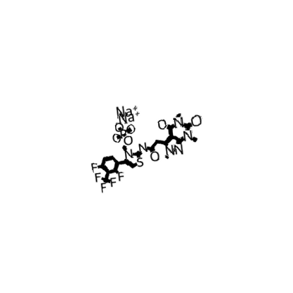 Cn1nc2c(c1CC(=O)N=c1scc(-c3ccc(F)c(C(F)(F)F)c3F)n1COP(=O)([O-])[O-])c(=O)n(C)c(=O)n2C.[Na+].[Na+]